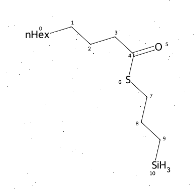 CCCCCCCCCC(=O)SCCC[SiH3]